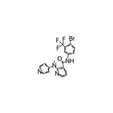 CN(c1ccncc1)c1ncccc1C(=O)Nc1ccc(Br)c(C(F)(F)F)c1